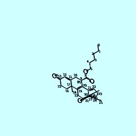 CCCCCCOC(=O)[C@@H]1CC2=CC(=O)CCC2(C)C2=C1C1=CC[C@@]3(C)CCC(=O)C13CC2